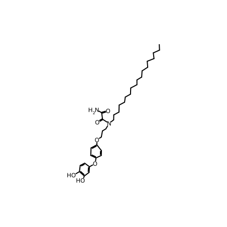 CCCCCCCCCCCCCCCCCCN(CCCOc1ccc(Oc2ccc(O)c(O)c2)cc1)C(=O)C(N)=O